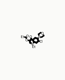 CCC(=O)Oc1cn(CC)c2cc(Cl)c(N3CCOCC3)cc2c1=O